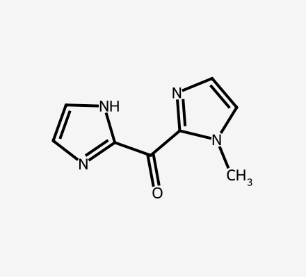 Cn1ccnc1C(=O)c1ncc[nH]1